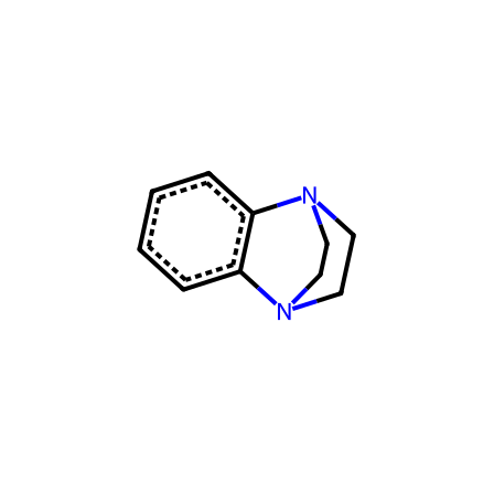 c1ccc2c(c1)N1CCN2CC1